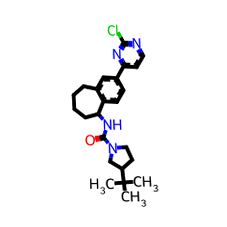 CC(C)(C)C1CCN(C(=O)NC2CCCCc3cc(-c4ccnc(Cl)n4)ccc32)C1